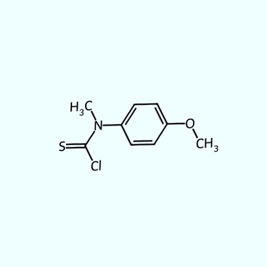 COc1ccc(N(C)C(=S)Cl)cc1